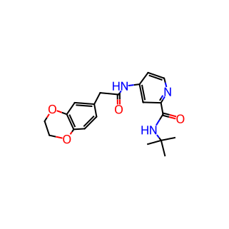 CC(C)(C)NC(=O)c1cc(NC(=O)Cc2ccc3c(c2)OCCO3)ccn1